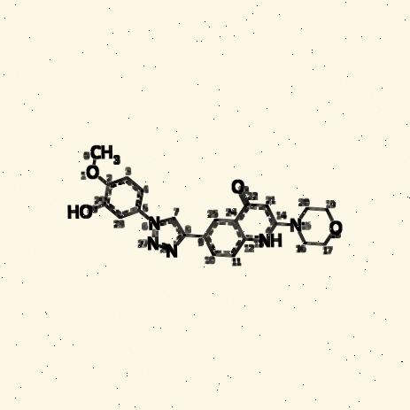 COc1ccc(-n2cc(-c3ccc4[nH]c(N5CCOCC5)cc(=O)c4c3)nn2)cc1O